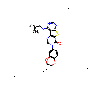 C=C(C)CNc1ncnc2sc3c(=O)n(-c4ccc5c(c4)OCCO5)cnc3c12